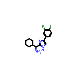 NC(c1nc(-c2ccc(F)c(F)c2)c[nH]1)C1CCCCC1